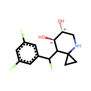 O[C@@H]1CNC2(CC2)C(C(F)c2cc(F)cc(F)c2)[C@H]1O